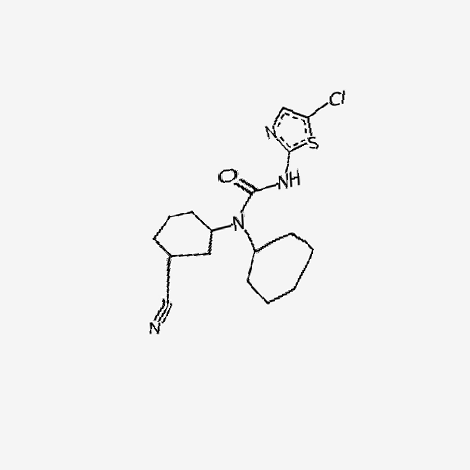 N#CC1CCCC(N(C(=O)Nc2ncc(Cl)s2)C2CCCCC2)C1